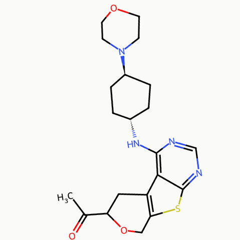 CC(=O)C1Cc2c(sc3ncnc(N[C@H]4CC[C@H](N5CCOCC5)CC4)c23)CO1